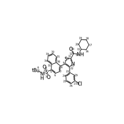 CC(C)(C)NS(=O)(=O)c1ccc(-c2sc(C(=O)NC3CCCCC3)nc2-c2cccc(Cl)c2)c2ccccc12